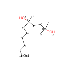 CCCCCCCCCCCCCC(C)(O)CCC(C)(C)O